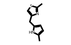 Cc1ccc(Cc2csc(C)n2)[nH]1